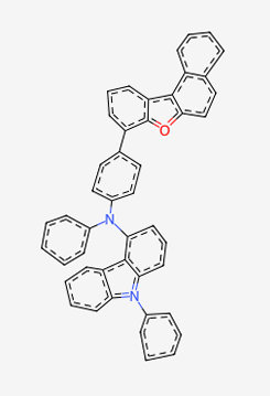 c1ccc(N(c2ccc(-c3cccc4c3oc3ccc5ccccc5c34)cc2)c2cccc3c2c2ccccc2n3-c2ccccc2)cc1